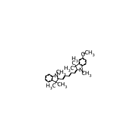 COc1ccc2c(c1)C(C)(C)\C(=C/C=C/C=C/C1=[N+](C)c3ccccc3C1(C)C)N2C